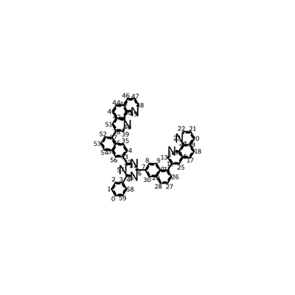 c1ccc(-c2nc(-c3ccc4c(-c5cnc6c(ccc7cccnc76)c5)cccc4c3)nc(-c3ccc4c(-c5cnc6c(ccc7cccnc76)c5)cccc4c3)n2)cc1